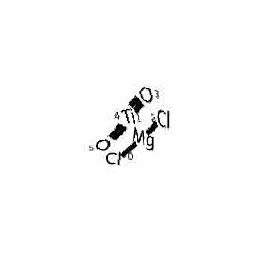 [Cl][Mg][Cl].[O]=[Ti]=[O]